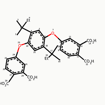 CCC(C)(C)c1cc(Oc2ccc(C(=O)O)c(C(=O)O)c2)c(C(C)(C)CC)cc1Oc1ccc(C(=O)O)c(C(=O)O)c1